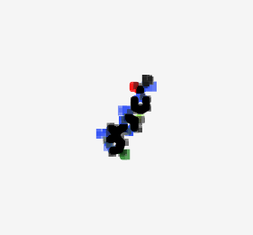 CCNC(=O)N1CCC[C@H](Nc2nc(-c3c[nH]c4ncc(Cl)cc34)ncc2F)C1